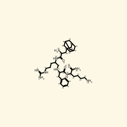 N=C(N)NCCCC(CNC(Cc1ccccc1)C(=O)NC(CCCCN)C(N)=O)NC(=O)C(N)CC12CC3CC(CC(C3)C1)C2